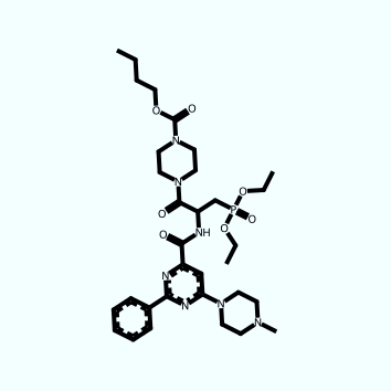 CCCCOC(=O)N1CCN(C(=O)C(CP(=O)(OCC)OCC)NC(=O)c2cc(N3CCN(C)CC3)nc(-c3ccccc3)n2)CC1